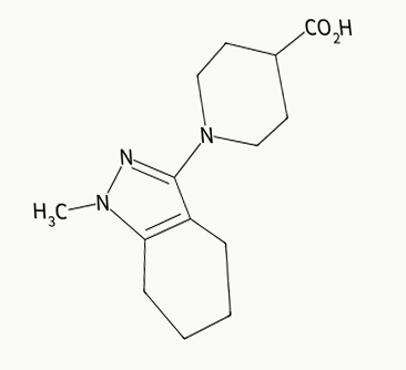 Cn1nc(N2CCC(C(=O)O)CC2)c2c1CCCC2